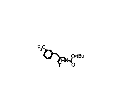 CC(C)(C)OC(=O)NCC(=CF)Cc1cccc(C(F)(F)F)c1